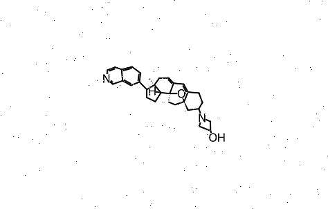 C[C@]12CC=C3C=C4CCC(N5CC(O)C5)C[C@]45CC[C@]3(O5)[C@@H]1CCC2c1ccc2ccncc2c1